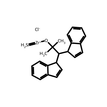 CC(C)([O][Zr+]=[SiH2])C(C1C=Cc2ccccc21)C1C=Cc2ccccc21.[Cl-]